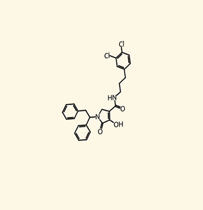 O=C(NCCCc1ccc(Cl)c(Cl)c1)C1=C(O)C(=O)N(C(Cc2ccccc2)c2ccccc2)C1